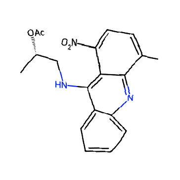 CC(=O)O[C@@H](C)CNc1c2ccccc2nc2c(C)ccc([N+](=O)[O-])c12